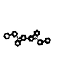 C1=C(C2=CC(n3c4ccccc4c4cc(-c5ccc6c(c5)c5ccccc5n6-c5cccc(-c6ccccc6)c5)ccc43)CCC2)CCCC1